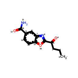 [CH2]CCC(=O)c1nc2cc(C(N)=O)ccc2o1